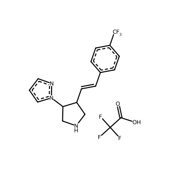 FC(F)(F)c1ccc(/C=C/C2CNCC2n2cccn2)cc1.O=C(O)C(F)(F)F